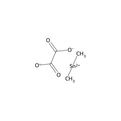 O=C([O-])C(=O)[O-].[CH3][Sn+2][CH3]